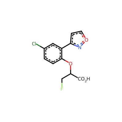 O=C(O)C(CF)Oc1ccc(Cl)cc1-c1ccon1